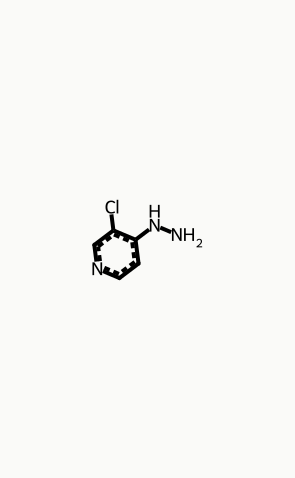 NNc1ccncc1Cl